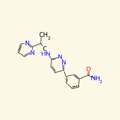 CC(CNc1ccc(-c2cccc(C(N)=O)c2)nn1)c1ncccn1